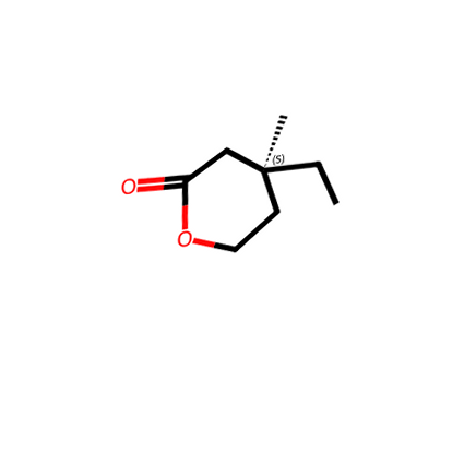 CC[C@@]1(C)CCOC(=O)C1